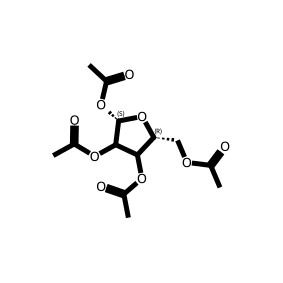 CC(=O)OC[C@H]1O[C@@H](OC(C)=O)C(OC(C)=O)C1OC(C)=O